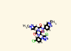 Cn1ccc(C[C@@H](C(=O)Nc2ccc3nn(C)cc3c2)N2CC(=O)N(c3cc(Cl)ccc3-n3cc(Cl)nn3)CC2=O)n1